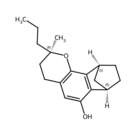 CCC[C@]1(C)CCc2cc(O)c3c(c2O1)[C@H]1CC[C@@H]3C1